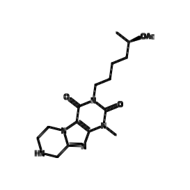 CC(=O)O[C@H](C)CCCCn1c(=O)c2c(nc3n2CCNC3)n(C)c1=O